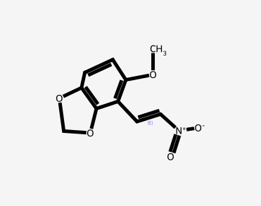 COc1ccc2c(c1/C=C/[N+](=O)[O-])OCO2